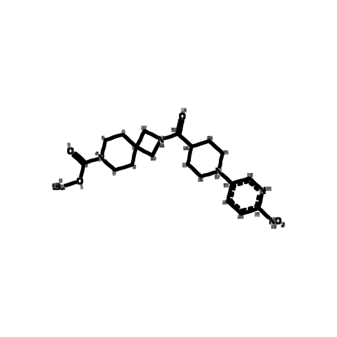 CC(C)(C)OC(=O)N1CCC2(CC1)CN(C(=O)C1CCN(c3ccc([N+](=O)[O-])nc3)CC1)C2